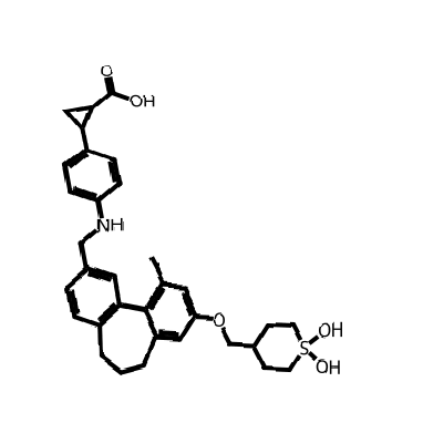 Cc1cc(OCC2CCS(O)(O)CC2)cc2c1-c1cc(CNc3ccc(C4CC4C(=O)O)cc3)ccc1CCC2